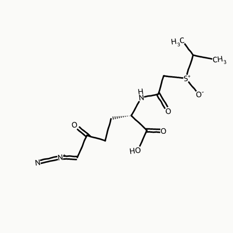 CC(C)[S+]([O-])CC(=O)N[C@@H](CCC(=O)C=[N+]=[N-])C(=O)O